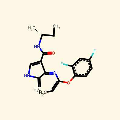 C=C1NC=C(C(=O)N[C@H](C)CC)/C1=N/C(=C\C)Oc1ccc(F)cc1F